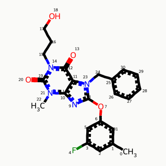 Cc1cc(F)cc(Oc2nc3c(c(=O)n(CCCO)c(=O)n3C)n2Cc2ccccc2)c1